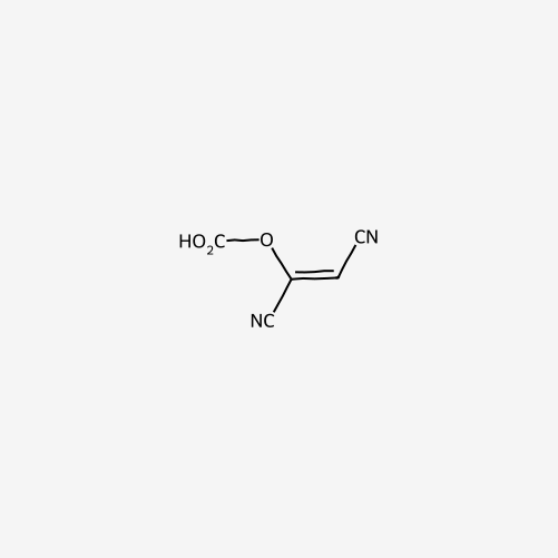 N#CC=C(C#N)OC(=O)O